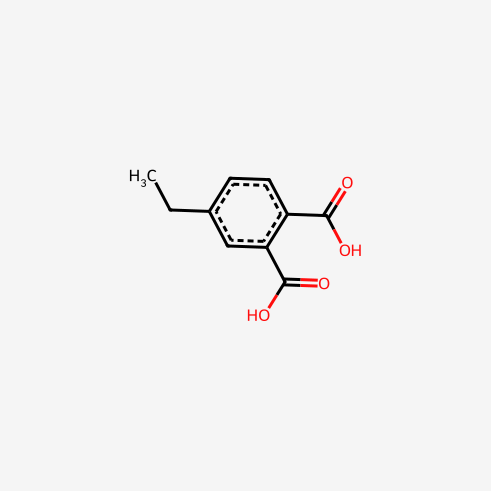 CCc1ccc(C(=O)O)c(C(=O)O)c1